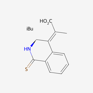 CC[C@H](C)[C@@H]1NC(=S)c2ccccc2/C1=C(\C)C(=O)O